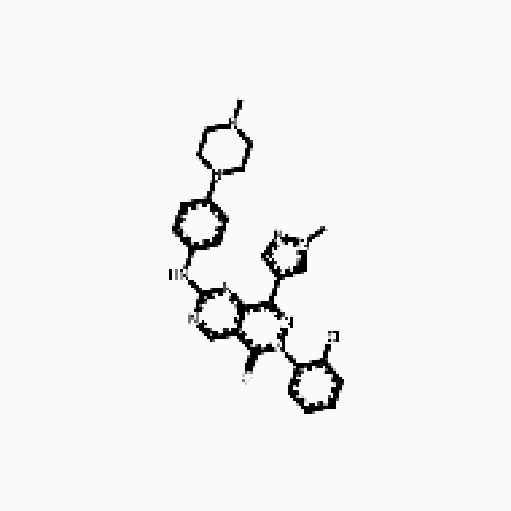 CN1CCN(c2ccc(Nc3ncc4c(=O)n(-c5ccccc5Cl)nc(-c5cnn(C)c5)c4n3)cc2)CC1